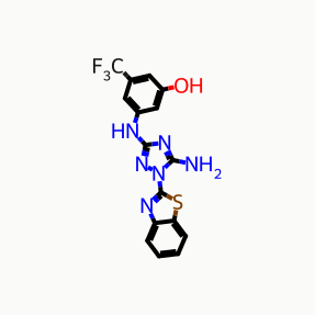 Nc1nc(Nc2cc(O)cc(C(F)(F)F)c2)nn1-c1nc2ccccc2s1